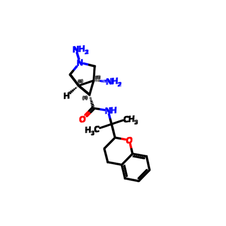 CC(C)(NC(=O)[C@@H]1[C@H]2CN(N)C[C@]21N)C1CCc2ccccc2O1